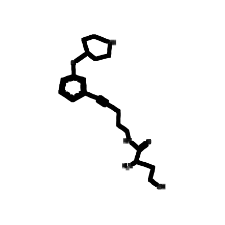 NC(CCO)C(=O)NCCCC#Cc1cccc(OC2CCNCC2)c1